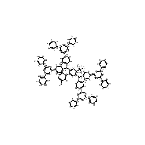 Fc1cc(F)cc(-c2cc(-n3c4ccc(-c5nc(-c6ccccc6)nc(-c6ccccc6)n5)cc4c4cc(-c5nc(-c6ccccc6)nc(-c6ccccc6)n5)ccc43)c(C(F)(F)F)cc2-n2c3ccc(-c4nc(-c5ccccc5)nc(-c5ccccc5)n4)cc3c3cc(-c4nc(-c5ccccc5)nc(-c5ccccc5)n4)ccc32)c1